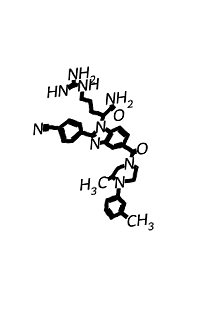 Cc1cccc(N2CCN(C(=O)c3ccc4c(c3)nc(-c3ccc(C#N)cc3)n4C(CCCNC(=N)N)C(N)=O)CC2C)c1